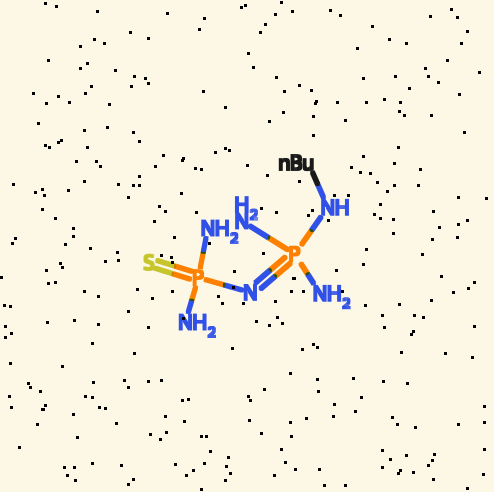 CCCCNP(N)(N)=NP(N)(N)=S